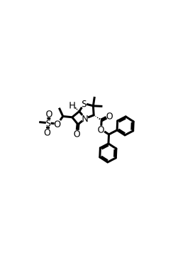 CC(OS(C)(=O)=O)C1C(=O)N2[C@@H]1SC(C)(C)[C@@H]2C(=O)OC(c1ccccc1)c1ccccc1